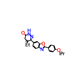 CC[C@H]1CC(=O)NN=C1c1ccc2nc(-c3ccc(OC(C)C)cc3)oc2c1